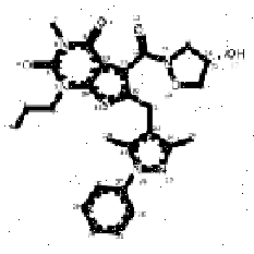 CCCn1c(=O)n(C)c(=O)c2c(C(=O)N3C[C@H](O)CO3)c(Cc3c(C)nn(-c4ccccc4)c3C)sc21